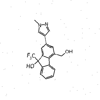 Cn1cc(-c2cc(CO)c3c(c2)C(O)(C(F)(F)F)c2ccccc2-3)cn1